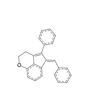 C(=C1C(c2ccccc2)=C2CCOc3cccc1c32)c1ccccc1